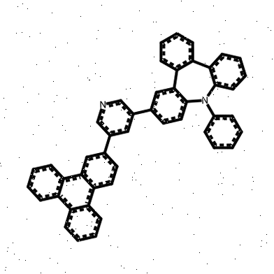 c1ccc(N2c3ccccc3-c3ccccc3-c3cc(-c4cncc(-c5ccc6c7ccccc7c7ccccc7c6c5)c4)ccc32)cc1